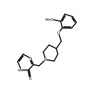 COc1ccccc1OCC1CCN(Cc2ncc[nH]c2=O)CC1